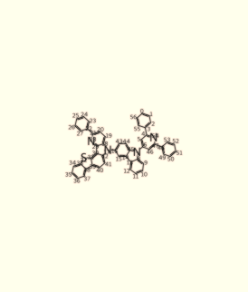 c1ccc(-c2cc(-n3c4ccccc4c4cc(-n5c6ccc(-c7ccccc7)nc6c6c7sc8ccccc8c7ccc65)ccc43)cc(-c3ccccc3)n2)cc1